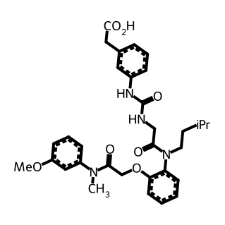 COc1cccc(N(C)C(=O)COc2ccccc2N(CCC(C)C)C(=O)CNC(=O)Nc2cccc(CC(=O)O)c2)c1